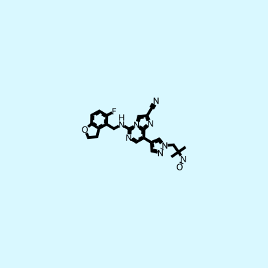 CC(C)(Cn1cc(-c2cnc(NCc3c(F)ccc4c3CCO4)n3cc(C#N)nc23)cn1)N=O